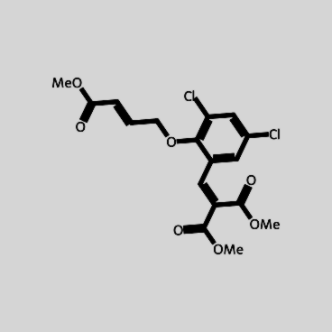 COC(=O)/C=C/COc1c(Cl)cc(Cl)cc1C=C(C(=O)OC)C(=O)OC